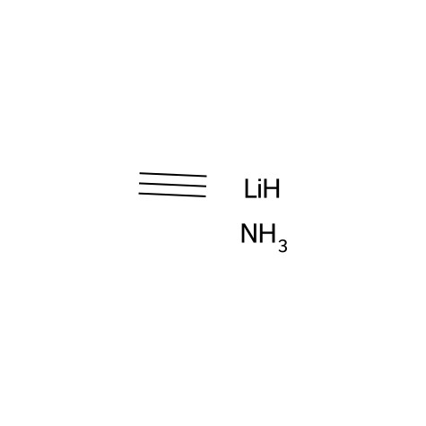 C#C.N.[LiH]